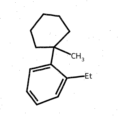 CCc1ccccc1C1(C)CCCCC1